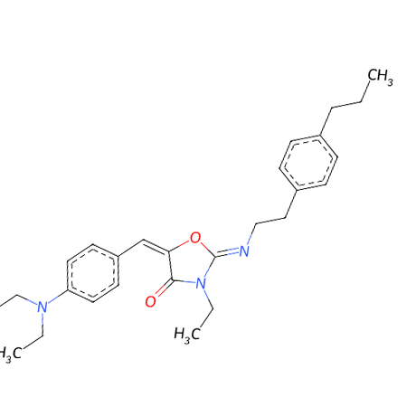 CCCc1ccc(CC/N=C2\O/C(=C/c3ccc(N(CC)CC)cc3)C(=O)N2CC)cc1